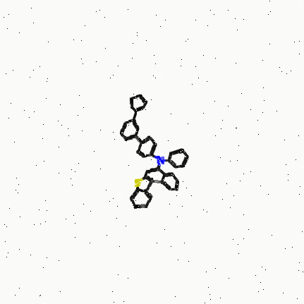 c1ccc(-c2cccc(-c3ccc(N(c4ccccc4)c4cc5sc6ccccc6c5c5ccccc45)cc3)c2)cc1